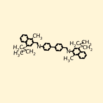 C=S(=C)(C)c1cc(/C=N/c2ccc(-c3ccc(/C=N/c4cc(S(=C)(=C)C)c5ccccc5c4C)cc3)cc2)c(C)c2ccccc12